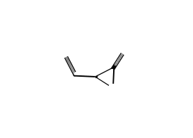 C=C[C]1OC1=O